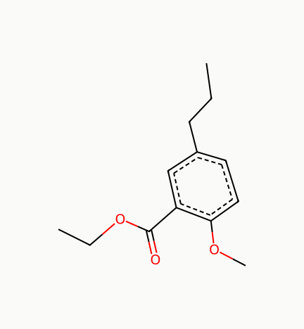 CCCc1ccc(OC)c(C(=O)OCC)c1